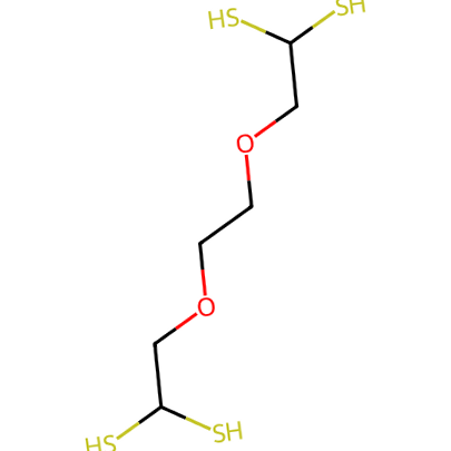 SC(S)COCCOCC(S)S